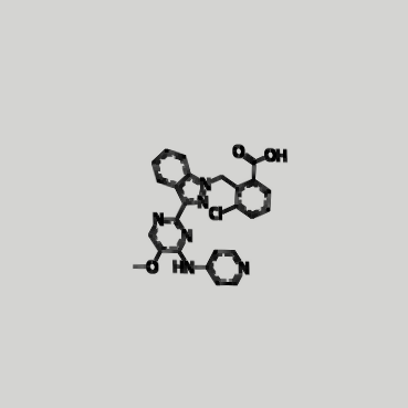 COc1cnc(-c2nn(Cc3c(Cl)cccc3C(=O)O)c3ccccc23)nc1Nc1ccncc1